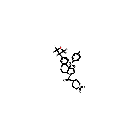 O=C(C1CCS(=O)(=O)CC1)N1CCC2(S(=O)(=O)c3ccc(F)cc3)c3ccc(C(F)(C(F)(F)F)C(F)(F)F)cc3OCC12